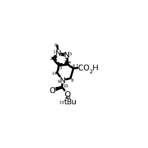 Cn1cc2c(n1)C(C(=O)O)CN(C(=O)OC(C)(C)C)C2